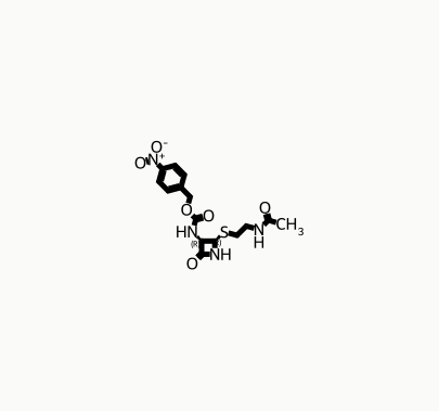 CC(=O)NCCS[C@H]1NC(=O)[C@H]1NC(=O)OCc1ccc([N+](=O)[O-])cc1